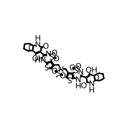 CS(=O)(=O)N(Cc1csc2c1S(=O)(=O)N=C(C1=C(O)C3C4CCC(O4)C3NC1=O)N2)Cc1csc2c1S(=O)(=O)N=C(C1=C(O)C3C4CCC(O4)C3NC1=O)N2